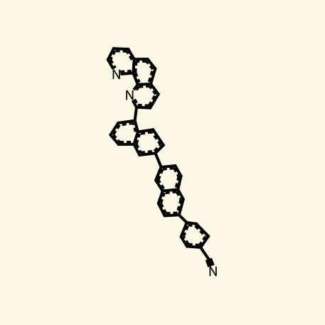 N#Cc1ccc(-c2ccc3cc(-c4ccc5c(-c6ccc7ccc8cccnc8c7n6)cccc5c4)ccc3c2)cc1